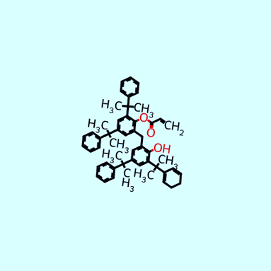 C=CC(=O)Oc1c(Cc2cc(C(C)(C)c3ccccc3)cc(C(C)(C)C3=CCCC=C3)c2O)cc(C(C)(C)c2ccccc2)cc1C(C)(C)c1ccccc1